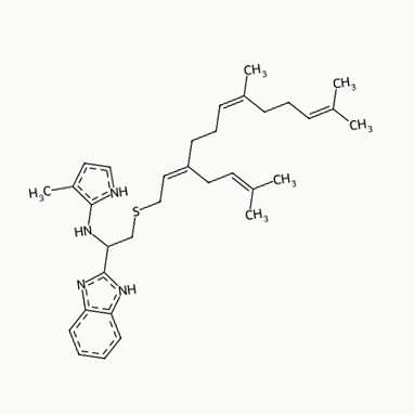 CC(C)=CCCC(C)=CCCC(=CCSCC(Nc1[nH]ccc1C)c1nc2ccccc2[nH]1)CC=C(C)C